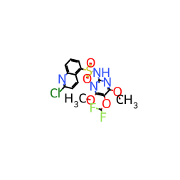 COc1nc(NS(=O)(=O)c2cccc3nc(Cl)ccc23)nc(OC)c1OC(F)F